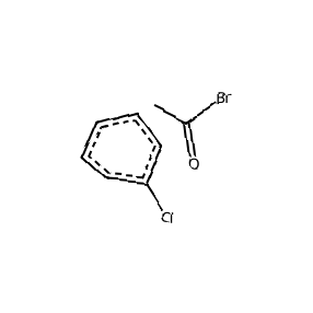 CC(=O)Br.Clc1ccccc1